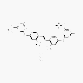 CCN(c1nc(Cl)nc(Nc2ccc(C=Cc3ccc(Nc4nc(Cl)nc(N(CC)S(=O)(=O)[O-])n4)cc3S(=O)(=O)[O-])c(S(=O)(=O)[O-])c2)n1)S(=O)(=O)[O-].[Na+].[Na+].[Na+].[Na+]